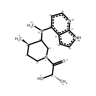 C[C@H](O)C(=O)N1CC[C@@H](C)C(N(C)c2ccnc3[nH]ccc23)C1